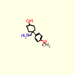 COc1ccc(C2(CN)CCC(O)CC2)cc1